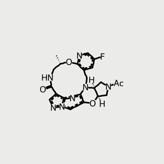 CC(=O)N1C[C@H]2Oc3cn4ncc5c4nc3N(Cc3cc(F)cnc3O[C@@H](C)CNC5=O)[C@H]2C1